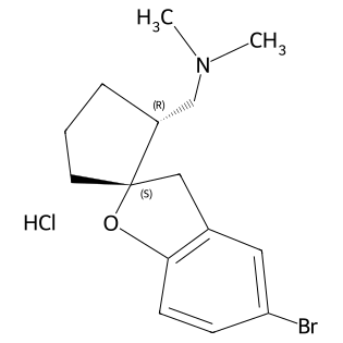 CN(C)C[C@H]1CCC[C@]12Cc1cc(Br)ccc1O2.Cl